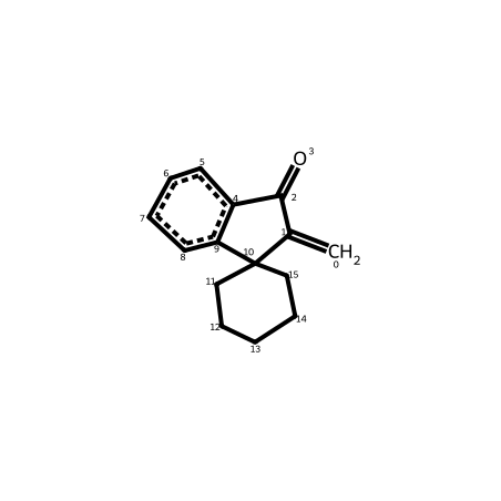 C=C1C(=O)c2ccccc2C12CCCCC2